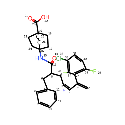 C=C(/C=C\CC(Cc1ccccc1)C(=O)NC12CCC(C(=O)O)(CC1)CC2)c1c(F)ccc(Cl)c1F